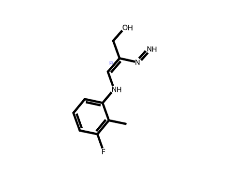 Cc1c(F)cccc1N/C=C(/CO)N=N